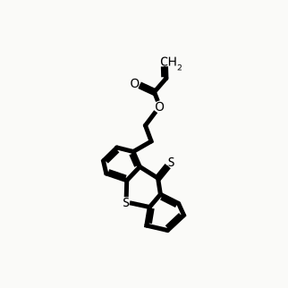 C=CC(=O)OCCc1cccc2sc3ccccc3c(=S)c12